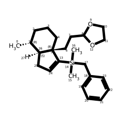 C[C@@H]1CCC[C@]2(CCC3OCCO3)C([Si](C)(C)Cc3ccccc3)=CC[C@@H]12